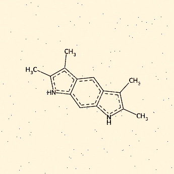 Cc1[nH]c2cc3[nH]c(C)c(C)c3cc2c1C